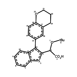 CC(C)(C)OC(C(=O)O)c1sc2ccccc2c1-c1ccc2c(c1)CCCO2